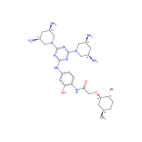 CC(C)[C@@H]1CC[C@@H](C)C[C@H]1OCC(=O)Nc1ccc(Nc2nc(N3C[C@H](N)C[C@H](N)C3)nc(N3C[C@H](N)C[C@H](N)C3)n2)cc1O